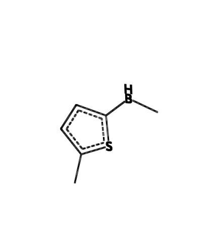 CBc1ccc(C)s1